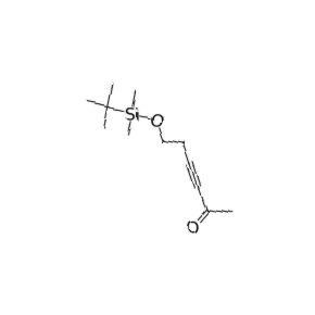 CC(=O)C#CCCO[Si](C)(C)C(C)(C)C